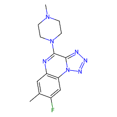 Cc1cc2nc(N3CCN(C)CC3)c3nnnn3c2cc1F